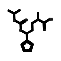 CC(C)OC(=O)O[C@@H](CCN(C)C(=O)O)c1cccs1